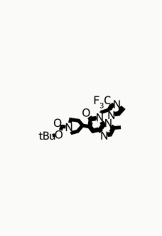 Cc1cnc2cc(C3CCN(C(=O)OC(C)(C)C)CC3)c(=O)n(Cc3nccnc3C(F)(F)F)c2n1